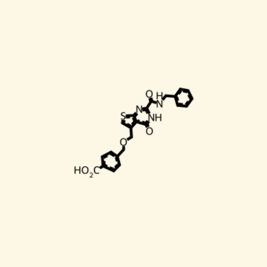 O=C(O)c1ccc(COCc2csc3nc(C(=O)NCc4ccccc4)[nH]c(=O)c23)cc1